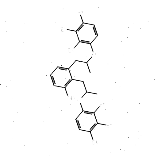 CCc1ccc(OC(C)Cc2cccc(O)c2CC(C)Oc2ccc(CC)c(CC)c2CC)c(CC)c1CC